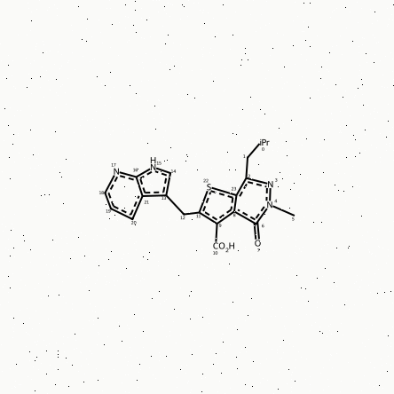 CC(C)Cc1nn(C)c(=O)c2c(C(=O)O)c(Cc3c[nH]c4ncccc34)sc12